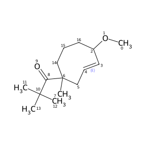 COC1/C=C/CC(C)(C(=O)C(C)(C)C)CCC1